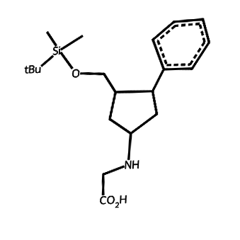 CC(C)(C)[Si](C)(C)OCC1CC(NCC(=O)O)CC1c1ccccc1